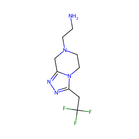 NCCN1CCn2c(nnc2CC(F)(F)F)C1